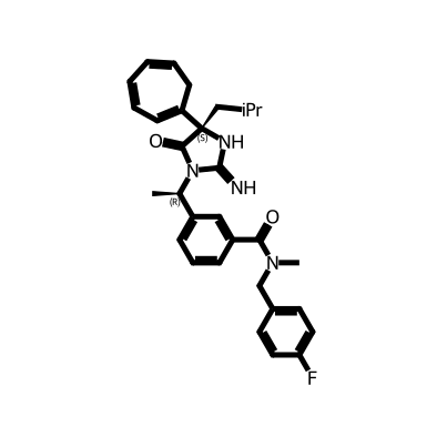 CC(C)C[C@@]1(C2=CC=CC=CC2)NC(=N)N([C@H](C)c2cccc(C(=O)N(C)Cc3ccc(F)cc3)c2)C1=O